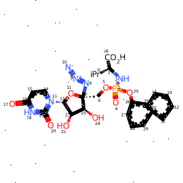 CC(C)[C@H](NP(=O)(OC[C@@]1(N=[N+]=[N-])O[C@@H](n2ccc(=O)[nH]c2=O)[C@H](O)[C@@H]1O)Oc1cccc2ccccc12)C(=O)O